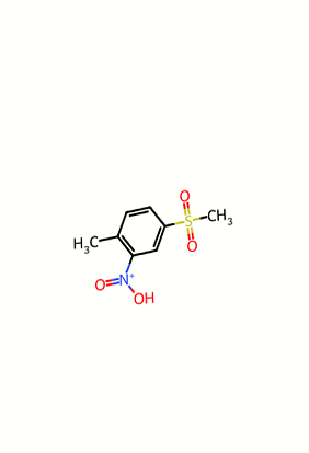 Cc1ccc(S(C)(=O)=O)cc1[N+](=O)O